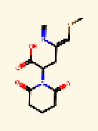 C=N/C(=C\SC)CC(C(=O)O)N1C(=O)CCCC1=O